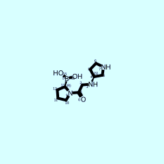 O=C(CN[C@H]1CCNC1)N1CCC[C@H]1B(O)O